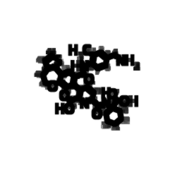 Cc1cc(CN)ccc1NC(=O)c1cc2c(cc1-c1ccc(C(=O)NC3(C(=O)O)CCCCC3)nc1C(=O)O)OCCc1ccsc1-2